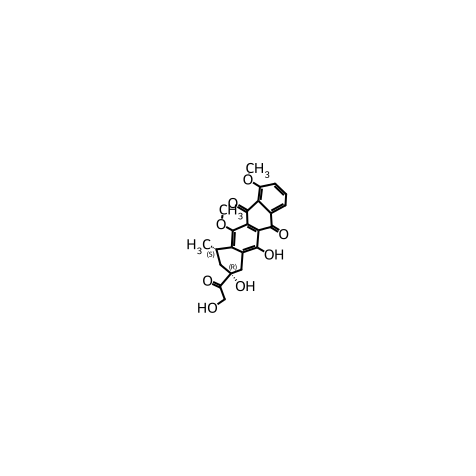 COc1cccc2c1C(=O)c1c(OC)c3c(c(O)c1C2=O)C[C@@](O)(C(=O)CO)C[C@@H]3C